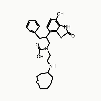 O=C(O)N(CCNC1CCCCCCC1)CC(Cc1ccccc1)c1ccc(O)c2[nH]c(=O)sc12